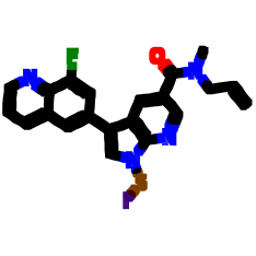 C=CCN(C)C(=O)c1cnc2c(c1)c(-c1cc(F)c3ncccc3c1)cn2SI